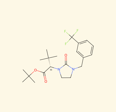 CC(C)(C)OC(=O)[C@@H](N1CCN(Cc2cccc(C(F)(F)F)c2)C1=O)C(C)(C)C